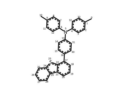 Cc1ccc(N(c2ccc(C)cc2)c2ccc(-c3cccc4c3sc3ccccc34)cc2)cc1